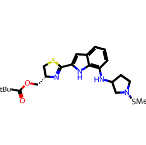 CSN1CCC(Nc2cccc3cc(C4=N[C@H](COC(=O)C(C)(C)C)CS4)[nH]c23)C1